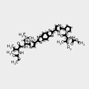 COC(=O)N[C@H](C(=O)N[C@@H](C[SiH](C)C)c1ncc(-c2nc3cc4sc(-c5cnc(C6CCCN6C(=O)[C@@H](NC(=O)OC)C(C)C)[nH]5)nc4cc3s2)[nH]1)C(C)C